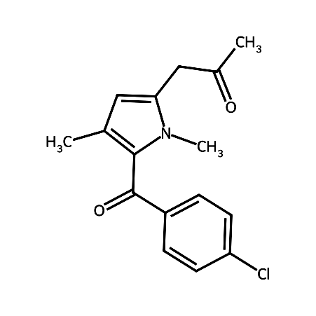 CC(=O)Cc1cc(C)c(C(=O)c2ccc(Cl)cc2)n1C